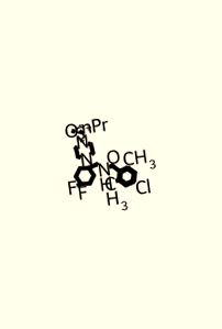 CCC[S+]([O-])N1CCN(C2(CNC(=O)c3c(C)cc(Cl)cc3C)CCC(F)(F)CC2)CC1